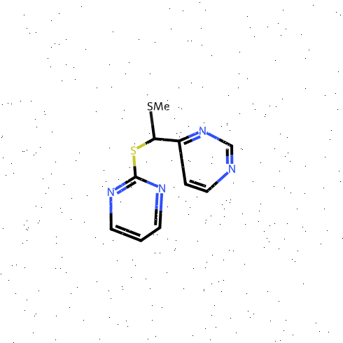 CSC(Sc1ncccn1)c1ccncn1